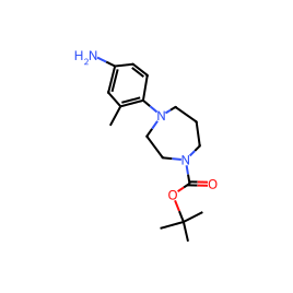 Cc1cc(N)ccc1N1CCCN(C(=O)OC(C)(C)C)CC1